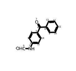 O=[C]Nc1ccc(C(=O)c2ccccc2)cc1